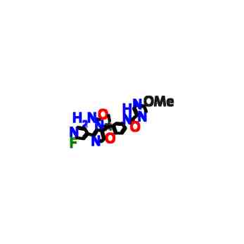 COc1cnc(C(=O)Nc2ccc3c(c2)[C@@]2(CCOC(N)=N2)c2cc(-c4ccnc(F)c4)ncc2O3)cn1